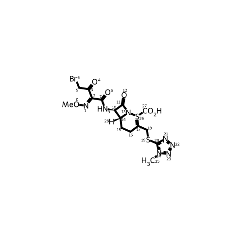 CON=C(C(=O)CBr)C(=O)N[C@H]1C(=O)N2[C@@H]1CCC(CSc1nnnn1C)=S2C(=O)O